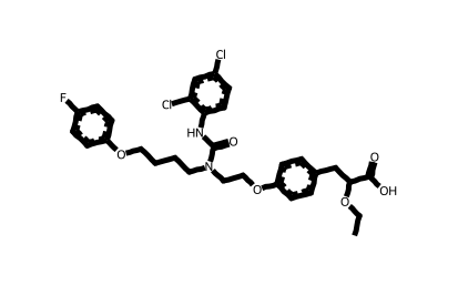 CCOC(Cc1ccc(OCCN(CCCCOc2ccc(F)cc2)C(=O)Nc2ccc(Cl)cc2Cl)cc1)C(=O)O